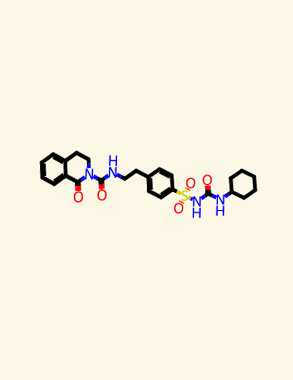 O=C(NC1CCCCC1)NS(=O)(=O)c1ccc(CCNC(=O)N2CCc3ccccc3C2=O)cc1